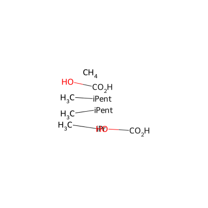 C.CC(C)C.CCCC(C)C.CCCC(C)C.O=C(O)O.O=C(O)O